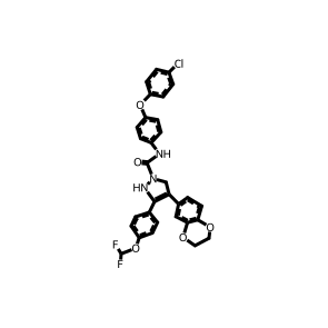 O=C(Nc1ccc(Oc2ccc(Cl)cc2)cc1)N1CC(c2ccc3c(c2)OCCO3)=C(c2ccc(OC(F)F)cc2)N1